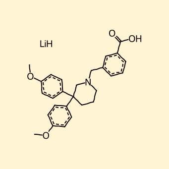 COc1ccc(C2(c3ccc(OC)cc3)CCCN(Cc3cccc(C(=O)O)c3)C2)cc1.[LiH]